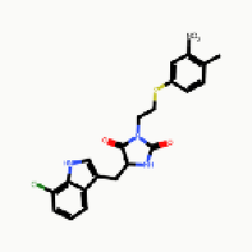 Cc1ccc(SCCN2C(=O)NC(Cc3c[nH]c4c(Cl)cccc34)C2=O)cc1[N+](=O)[O-]